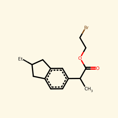 CCC1Cc2ccc(C(C)C(=O)OCCBr)cc2C1